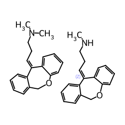 CN(C)CCC=C1c2ccccc2COc2ccccc21.CNCC/C=C1/c2ccccc2COc2ccccc21